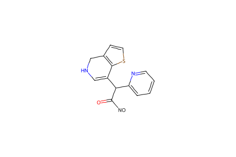 O=NC(=O)C(C1=CNCc2ccsc21)c1ccccn1